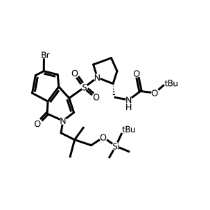 CC(C)(CO[Si](C)(C)C(C)(C)C)Cn1cc(S(=O)(=O)N2CCC[C@@H]2CNC(=O)OC(C)(C)C)c2cc(Br)ccc2c1=O